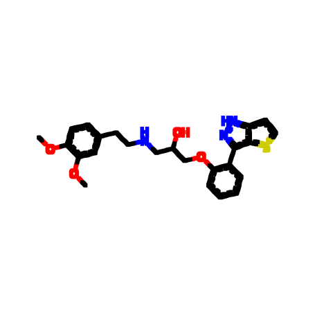 COc1ccc(CCNCC(O)COc2ccccc2-c2n[nH]c3ccsc23)cc1OC